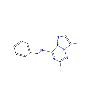 Clc1nc(NCc2ccccc2)c2ncc(I)n2n1